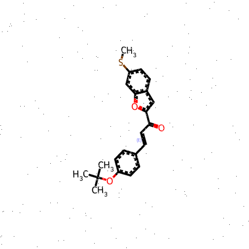 CSc1ccc2cc(C(=O)/C=C/c3ccc(OC(C)(C)C)cc3)oc2c1